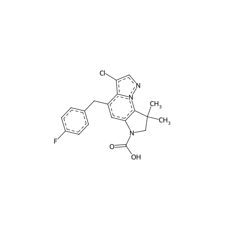 CC1(C)CN(C(=O)O)c2cc(Cc3ccc(F)cc3)c3c(Cl)cnn3c21